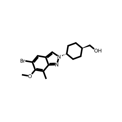 COc1c(Br)cc2cn([C@H]3CC[C@H](CO)CC3)nc2c1C